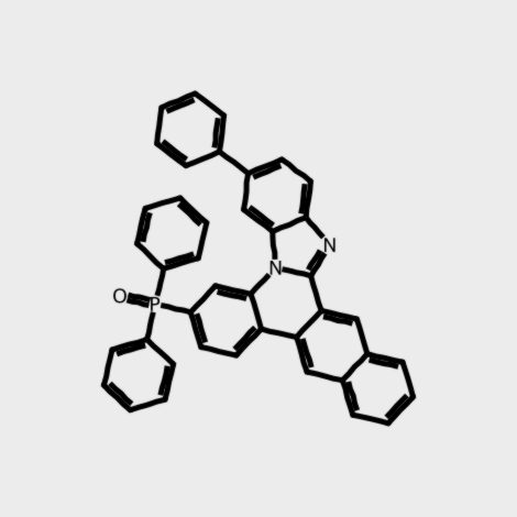 O=P(c1ccccc1)(c1ccccc1)c1ccc2c3cc4ccccc4cc3c3nc4ccc(-c5ccccc5)cc4n3c2c1